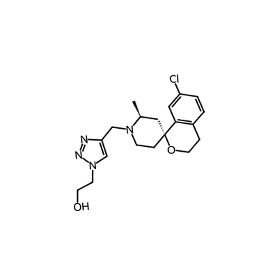 C[C@H]1C[C@@]2(CCN1Cc1cn(CCO)nn1)OCCc1ccc(Cl)cc12